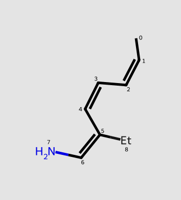 C\C=C/C=C\C(=C/N)CC